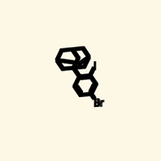 Brc1ccc(C23CC4CC(CC(C4)C2)C3)c(I)c1